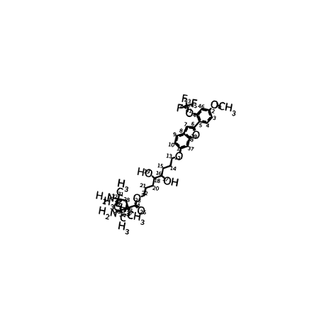 COc1ccc(-c2cc3ccc(OCCCC(O)C(O)CCCOC(=O)C(C)(CC(C)(C)N)C(C)(C)N)cc3o2)c(OC(F)(F)F)c1